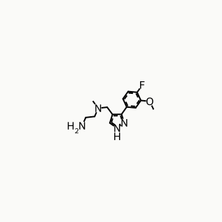 COc1cc(-c2n[nH]cc2CN(C)CCN)ccc1F